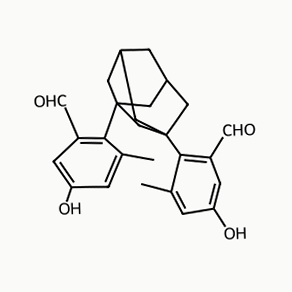 Cc1cc(O)cc(C=O)c1C12CC3CC(C1)CC(c1c(C)cc(O)cc1C=O)(C3)C2